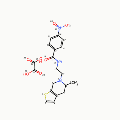 CC1Cc2ccsc2CN1CCNC(=O)c1ccc([N+](=O)[O-])cc1.O=C(O)C(=O)O